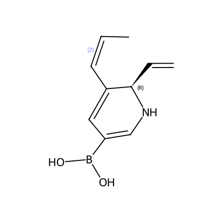 C=C[C@H]1NC=C(B(O)O)C=C1/C=C\C